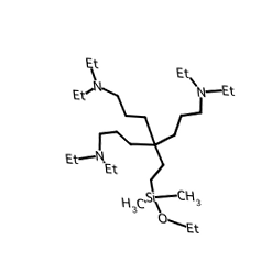 CCO[Si](C)(C)CCC(CCCN(CC)CC)(CCCN(CC)CC)CCCN(CC)CC